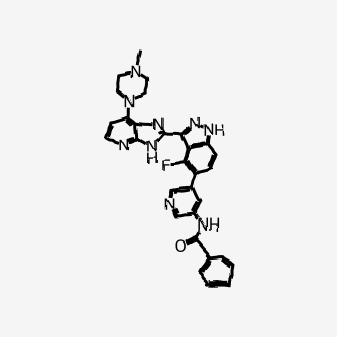 CN1CCN(c2ccnc3[nH]c(-c4n[nH]c5ccc(-c6cncc(NC(=O)c7ccccc7)c6)c(F)c45)nc23)CC1